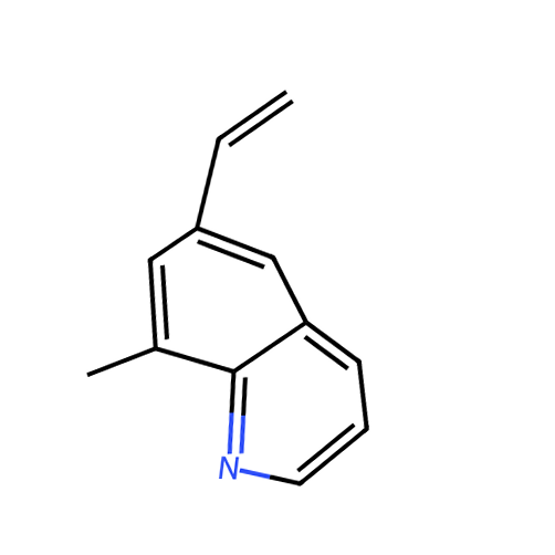 C=Cc1cc(C)c2ncccc2c1